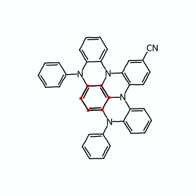 N#Cc1ccc(N2c3ccccc3N(c3ccccc3)c3ccccc32)c(N2c3ccccc3N(c3ccccc3)c3ccccc32)c1